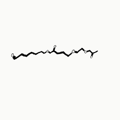 CC(=O)COCCOCCCC(=O)COCCCCCCC=O